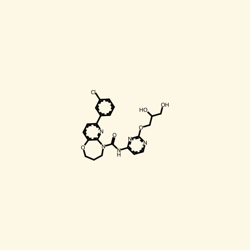 O=C(Nc1ccnc(OCC(O)CO)n1)N1CCCOc2ccc(-c3cccc(Cl)c3)nc21